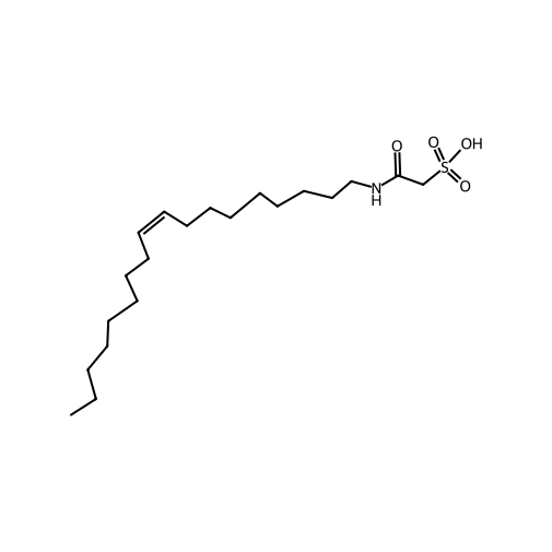 CCCCCCCC/C=C\CCCCCCCCNC(=O)CS(=O)(=O)O